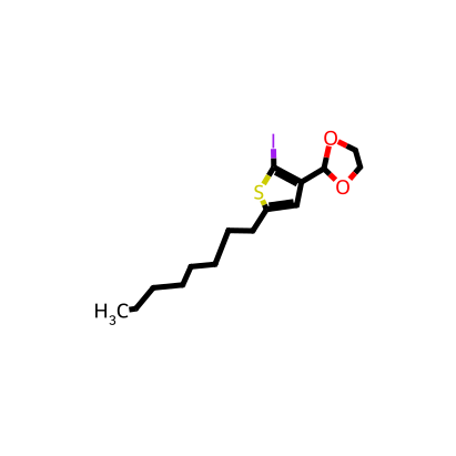 CCCCCCCCc1cc(C2OCCO2)c(I)s1